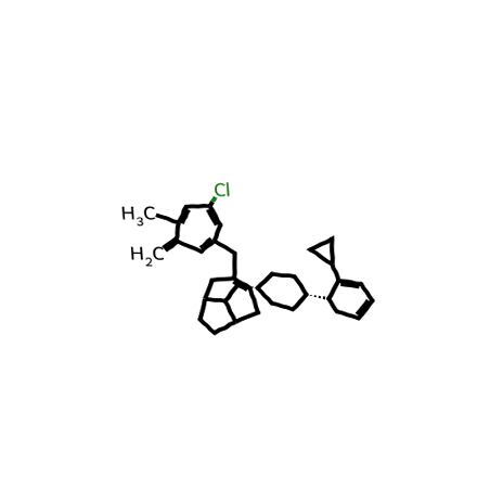 C=C1C=C(CC2=CCC3CCC(C2)C3C[C@H]2CC[C@@H](C3CC=CC=C3C3CC3)CC2)C=C(Cl)C=C1C